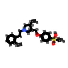 C[C@@H]1CN(CCc2ccccc2C#N)C[C@H]1COc1ccc(S(C)(=O)=O)cc1